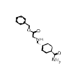 NC(=O)[C@H]1CC[C@H](CNCC(=O)OCc2ccccc2)CC1